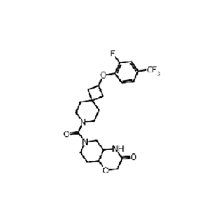 O=C1COC2CCN(C(=O)N3CCC4(CC3)CC(Oc3ccc(C(F)(F)F)cc3F)C4)CC2N1